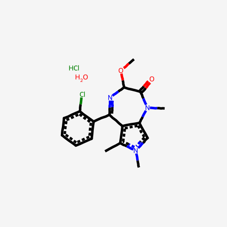 COC1N=C(c2ccccc2Cl)c2c(cn(C)c2C)N(C)C1=O.Cl.O